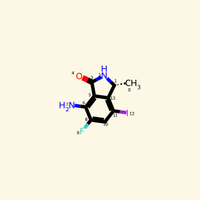 C[C@H]1NC(=O)c2c(N)c(F)cc(I)c21